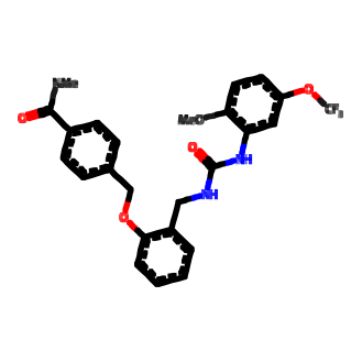 CNC(=O)c1ccc(COc2ccccc2CNC(=O)Nc2cc(OC(F)(F)F)ccc2OC)cc1